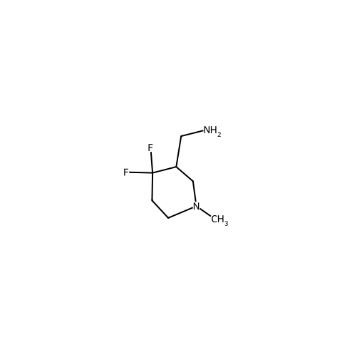 CN1CCC(F)(F)C(CN)C1